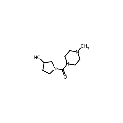 CN1CCN(C(=O)N2CCC(C#N)C2)CC1